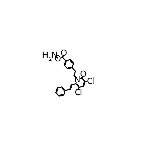 NOC(=O)c1ccc(CCn2c(/C=C/c3ccccc3)c(Cl)cc(Cl)c2=O)cc1